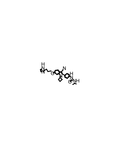 CC(C)NC(=O)Nc1ccc(-c2c(C#N)c3ccc(OCCCc4ncc[nH]4)cc3n2C2CCC2)cc1